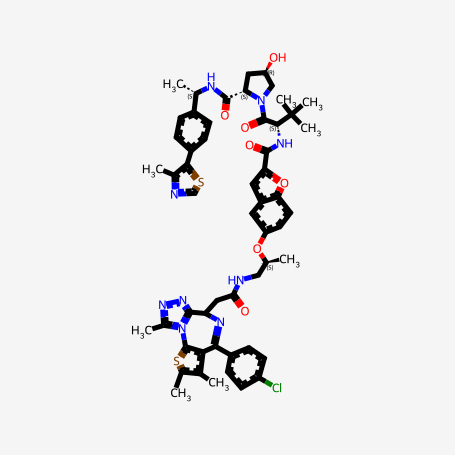 Cc1ncsc1-c1ccc([C@H](C)NC(=O)[C@@H]2C[C@@H](O)CN2C(=O)[C@@H](NC(=O)c2cc3cc(O[C@@H](C)CNC(=O)CC4N=C(c5ccc(Cl)cc5)c5c(sc(C)c5C)-n5c(C)nnc54)ccc3o2)C(C)(C)C)cc1